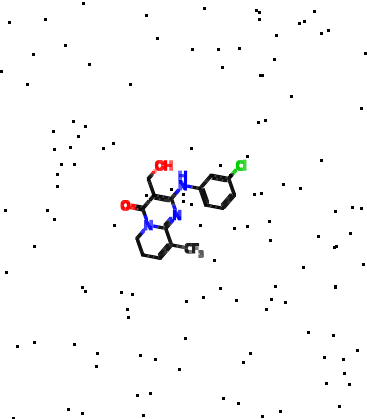 O=c1c(CO)c(Nc2cccc(Cl)c2)nc2n1CCC=C2C(F)(F)F